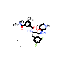 CCCN(CCC)C(=O)c1cc(C)cc(C(=O)N[C@@H](Cc2cc(F)cc(F)c2)[C@H](O)CNC2CCCN(C(C)=O)C2)c1